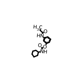 CCC(=O)Nc1cccc(OC(=O)NC2CCCCC2)c1